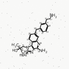 CCCCc1nc2c(N)nc3cc(Cc4cccc(CCN)c4)ccc3c2n1CC(C)(C)O